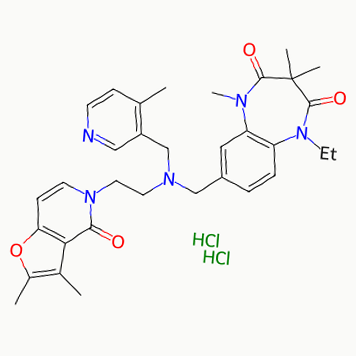 CCN1C(=O)C(C)(C)C(=O)N(C)c2cc(CN(CCn3ccc4oc(C)c(C)c4c3=O)Cc3cnccc3C)ccc21.Cl.Cl